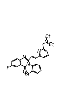 CCN(CC)Cc1cccc(C=Cc2nc3ccc(F)cc3c(=O)n2-c2ccccc2Br)n1